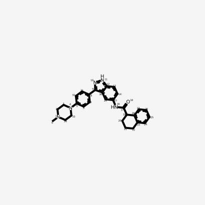 CN1CCN(c2ccc(-c3n[nH]c4ccc(NC(=O)C5CCCc6ccccc65)cc34)cc2)CC1